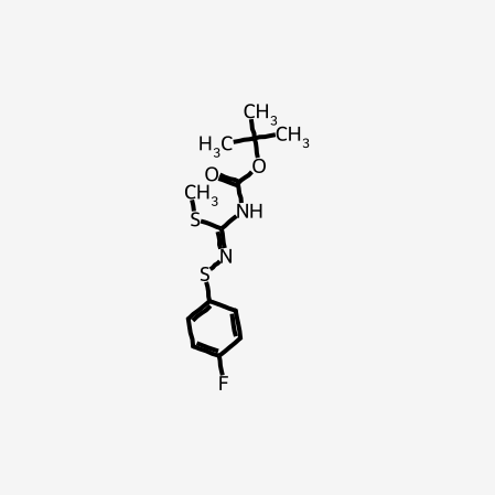 CS/C(=N\Sc1ccc(F)cc1)NC(=O)OC(C)(C)C